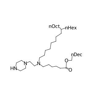 CCCCCCCCCCCOC(=O)CCCCCN(CCCCCCCCC(CCCCCC)CCCCCCCC)CCN1CCNCC1